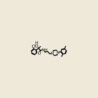 Cc1ccc(C)c(N2CCN(CCCNC(=O)C(C)(O)c3ccccc3Cl)CC2)c1